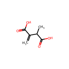 C=C(C(=O)O)C(C)C(=O)O